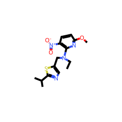 CCN(Cc1cnc(C(C)C)s1)c1nc(OC)ccc1[N+](=O)[O-]